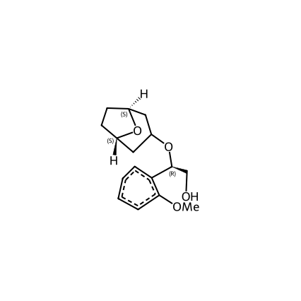 COc1ccccc1[C@H](CO)OC1C[C@@H]2CC[C@@H](C1)O2